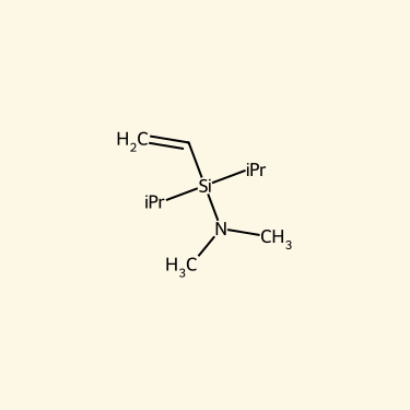 C=C[Si](C(C)C)(C(C)C)N(C)C